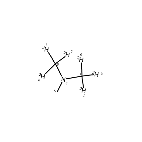 [2H]C([2H])([2H])N(C)C([2H])([2H])[2H]